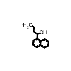 [CH2]CCC(O)c1cccc2ccccc12